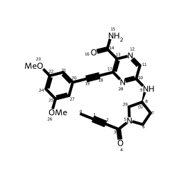 CC#CC(=O)N1CC[C@H](Nc2cnc(C(N)=O)c(C#Cc3cc(OC)cc(OC)c3)n2)C1